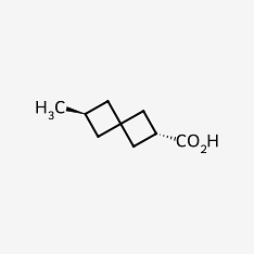 C[C@H]1CC2(C1)C[C@@H](C(=O)O)C2